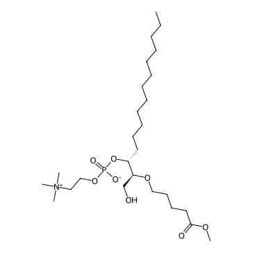 CCCCCCCCCCCC[C@@H](OP(=O)([O-])OCC[N+](C)(C)C)[C@H](CO)OCCCCC(=O)OC